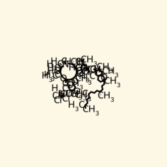 CC[C@H]1OC(=O)[C@H](C)[C@@H](O[C@H]2C[C@@](C)(OC)[C@@H](O)[C@H](C)O2)[C@H](C)[C@@H](O[C@@H]2O[C@H](C)C[C@H](N(C)C)[C@H]2O)[C@](C)(O)C[C@@H](C)CN(C)[C@H](C)[C@@H](O)[C@]1(C)O.Cc1c(C)c2c(c(C)c1O)CC[C@@](C)(CCC[C@H](C)CCC[C@H](C)CCCC(C)C)O2.ClC(Cl)(Cl)Cl